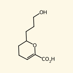 O=C(O)C1=CCCC(CCCO)O1